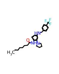 CCCCCCCC(=O)Nc1ccc(NCc2ccc(C(F)(F)F)cc2)cc1N1CCCC1